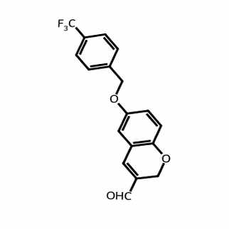 O=CC1=Cc2cc(OCc3ccc(C(F)(F)F)cc3)ccc2OC1